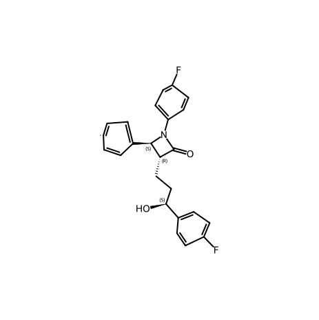 O=C1[C@H](CC[C@H](O)c2ccc(F)cc2)[C@@H](c2cc[c]cc2)N1c1ccc(F)cc1